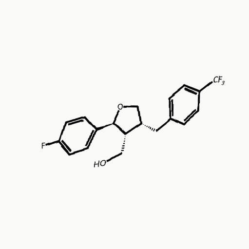 OC[C@H]1[C@@H](Cc2ccc(C(F)(F)F)cc2)CO[C@@H]1c1ccc(F)cc1